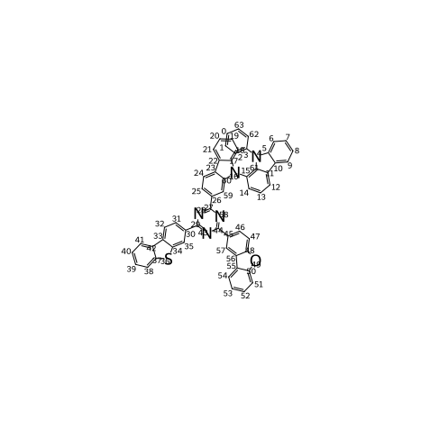 c1ccc(-n2c3ccccc3c3cccc(-n4c5ccccc5c5ccc(-c6nc(-c7ccc8c(c7)sc7ccccc78)nc(-c7ccc8oc9ccccc9c8c7)n6)cc54)c32)cc1